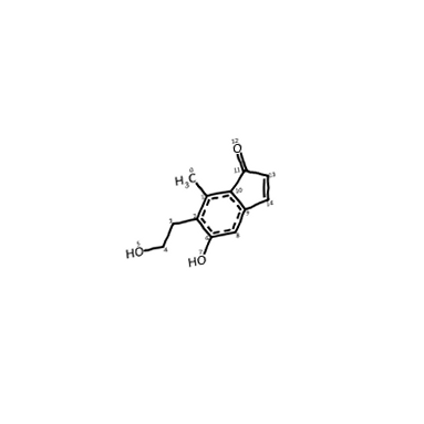 Cc1c(CCO)c(O)cc2c1C(=O)C=C2